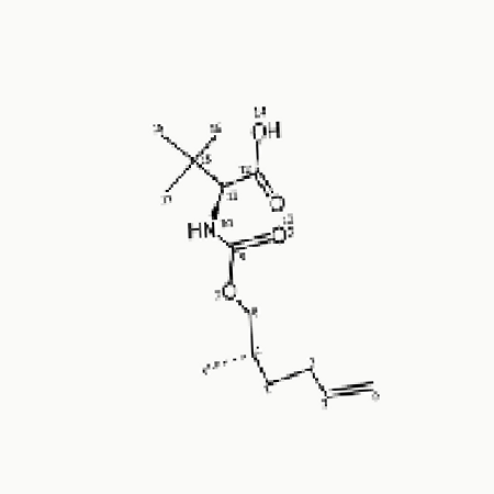 C=CCC[C@H](C)COC(=O)N[C@H](C(=O)O)C(C)(C)C